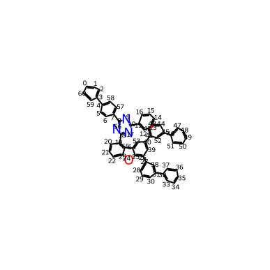 c1ccc(-c2ccc(-c3nc(-c4ccccc4)nc(-c4cccc5oc6c(-c7cccc(-c8ccccc8)c7)cc(-c7cccc(-c8ccccc8)c7)cc6c45)n3)cc2)cc1